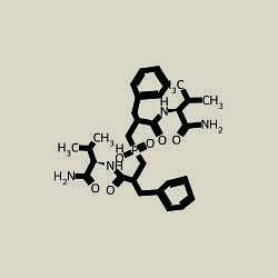 CC(C)[C@H](NC(=O)C(Cc1ccccc1)CP(=O)(O)CC(Cc1ccccc1)C(=O)N[C@H](C(N)=O)C(C)C)C(N)=O